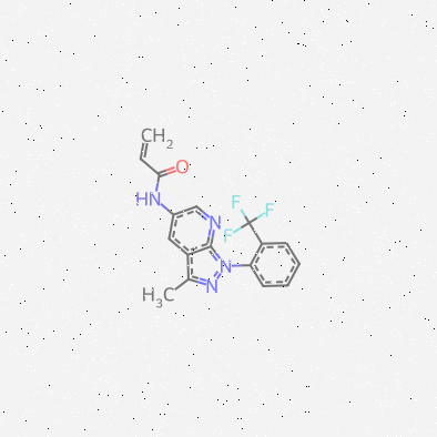 C=CC(=O)Nc1cnc2c(c1)c(C)nn2-c1ccccc1C(F)(F)F